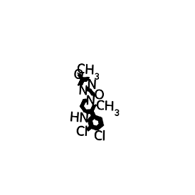 COc1cnc(C(=O)N2CCc3[nH]c4c(Cl)c(Cl)ccc4c3[C@H]2C)nc1